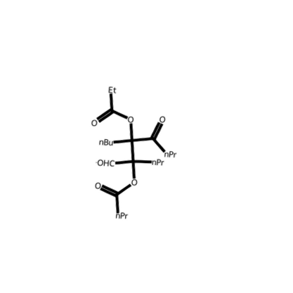 CCCCC(OC(=O)CC)(C(=O)CCC)C([C]=O)(CCC)OC(=O)CCC